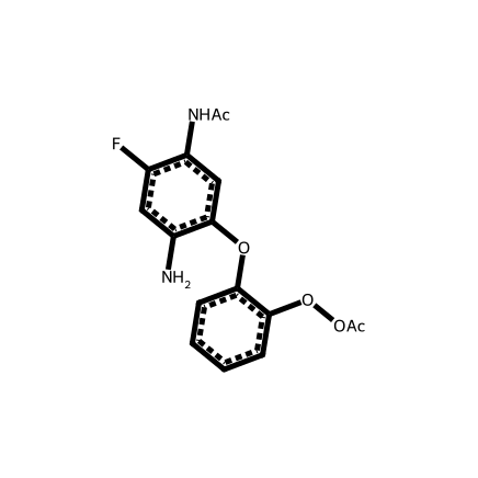 CC(=O)Nc1cc(Oc2ccccc2OOC(C)=O)c(N)cc1F